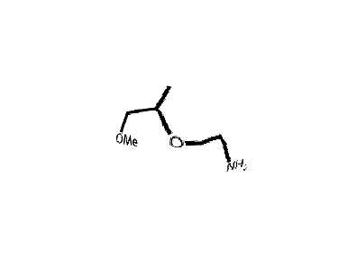 COCC(C)OCN